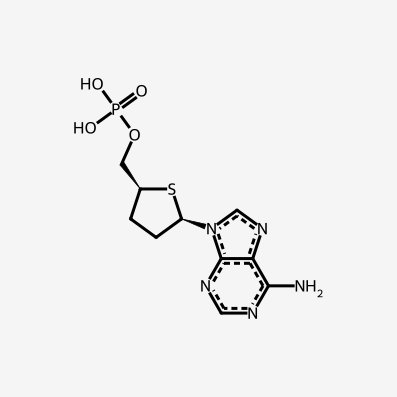 Nc1ncnc2c1ncn2[C@H]1CC[C@@H](COP(=O)(O)O)S1